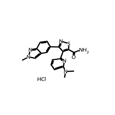 CN(C)c1cccc(-c2c(-c3ccc4nn(C)cc4c3)nsc2C(N)=O)n1.Cl